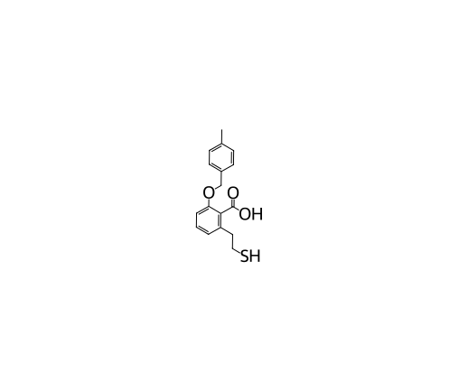 Cc1ccc(COc2cccc(CCS)c2C(=O)O)cc1